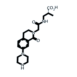 C[C@H](CNC(=O)CN1CCc2ccc(N3CCNCC3)cc2C1=O)C(=O)O